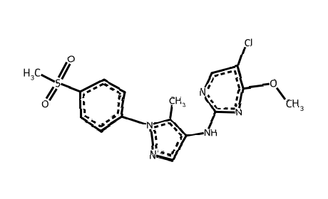 COc1nc(Nc2cnn(-c3ccc(S(C)(=O)=O)cc3)c2C)ncc1Cl